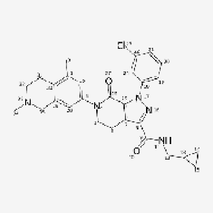 Cc1cc(N2CCc3c(C(=O)NCC4CC4)nn(-c4cccc(Cl)c4)c3C2=O)cc2c1CCN(C)C2